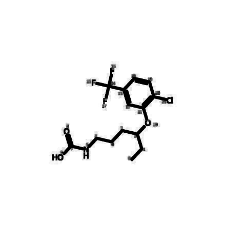 CCC(CCCNC(=O)O)Oc1cc(C(F)(F)F)ccc1Cl